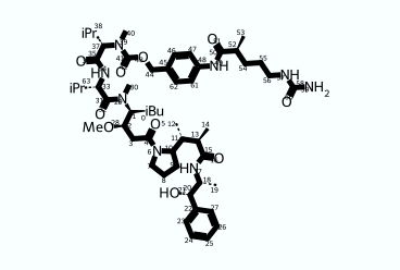 CC[C@H](C)[C@@H]([C@@H](CC(=O)N1CCCC1[C@H](C)[C@@H](C)C(=O)N[C@H](C)[C@@H](O)c1ccccc1)OC)N(C)C(=O)[C@@H](NC(=O)[C@H](C(C)C)N(C)C(=O)OCc1ccc(NC(=O)[C@@H](C)CCCNC(N)=O)cc1)C(C)C